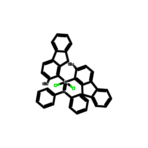 CC(C)(C)c1ccc2c([c]1[Hf]([Cl])([Cl])([c]1c(C(C)(C)C)ccc3c1Cc1ccccc1-3)=[Si](c1ccccc1)c1ccccc1)Cc1ccccc1-2